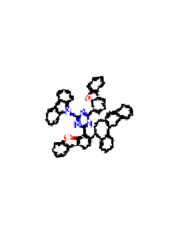 c1ccc2c(c1)-c1cc3ccccc3cc1CCC2c1ccc2c(oc3ccccc32)c1-c1nc(-c2cccc3c2oc2ccccc23)nc(-n2c3ccccc3c3ccccc32)n1